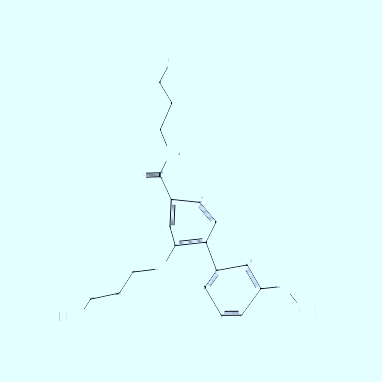 CCCCOC(=O)c1ccc(-c2cccc(OC)c2)c(OCCCC)c1